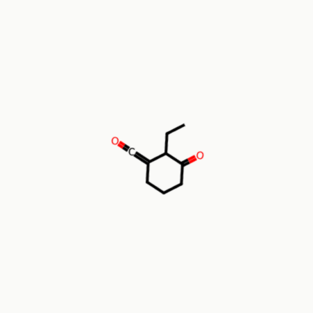 CCC1C(=O)CCCC1=C=O